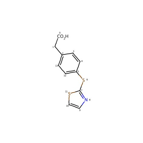 O=C(O)Cc1ccc(Sc2nccs2)cc1